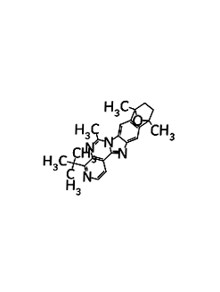 Cc1nc2c(C(C)(C)C)nccc2c2nc3cc4c(cc3n12)C1(C)CCC4(C)O1